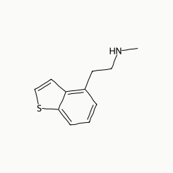 CNCCc1cccc2sccc12